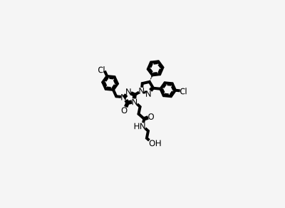 O=C(CCn1c(N2C[C@H](c3ccccc3)C(c3ccc(Cl)cc3)=N2)nn(Cc2ccc(Cl)cc2)c1=O)NCCO